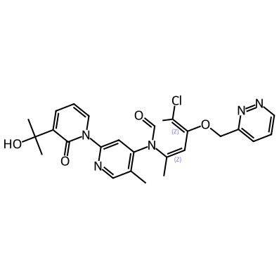 C/C(=C/C(OCc1cccnn1)=C(\C)Cl)N(C=O)c1cc(-n2cccc(C(C)(C)O)c2=O)ncc1C